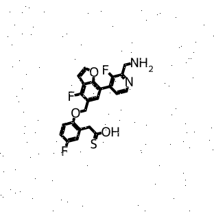 NCc1nccc(-c2cc(COc3ccc(F)cc3CC(O)=S)c(F)c3ccoc23)c1F